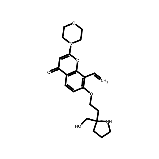 C=Cc1c(OCCC2(CO)CCCN2)ccc2c(=O)cc(N3CCOCC3)oc12